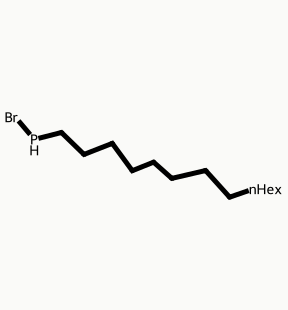 CCCCCCCCCCCCCCPBr